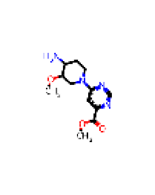 COC(=O)c1cc(N2CCC(N)C(OC)C2)ncn1